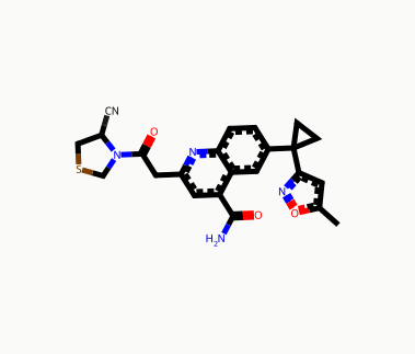 Cc1cc(C2(c3ccc4nc(CC(=O)N5CSCC5C#N)cc(C(N)=O)c4c3)CC2)no1